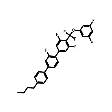 CCCCc1ccc(-c2ccc(-c3cc(F)c(C(F)(F)Oc4cc(F)cc(F)c4)c(F)c3)c(F)c2)cc1